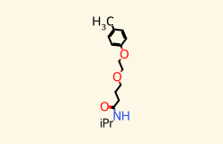 Cc1ccc(OCCOCCCC(=O)NC(C)C)cc1